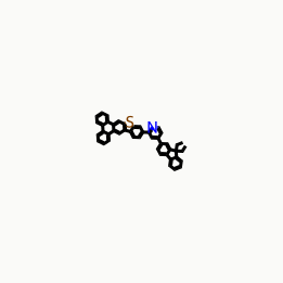 CCC1(CC)c2ccccc2-c2ccc(-c3ccnc(-c4ccc5c(c4)sc4cc6c7ccccc7c7ccccc7c6cc45)c3)cc21